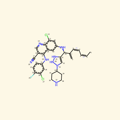 C=C(/C=C\C=C/C)[C@H](Nc1cc(Cl)c2ncc(C#N)c(Nc3ccc(F)c(Cl)c3)c2c1)C1=CN(C2CCNCC2)NN1